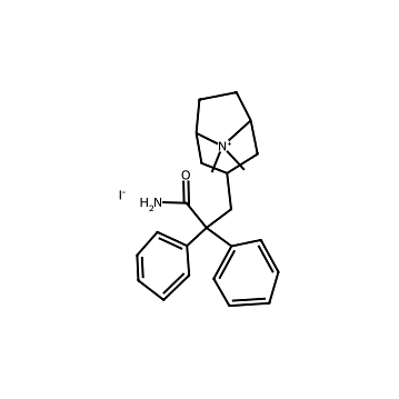 C[N+]1(C)C2CCC1CC(CC(C(N)=O)(c1ccccc1)c1ccccc1)C2.[I-]